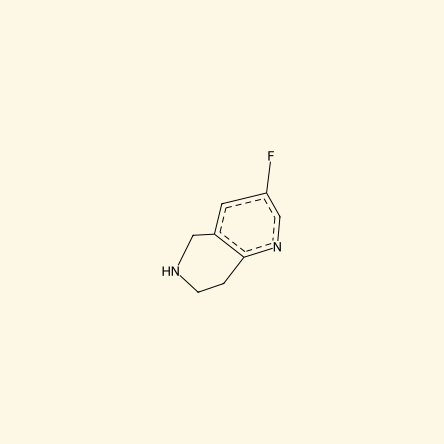 Fc1cnc2c(c1)CNCC2